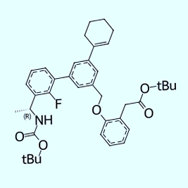 C[C@@H](NC(=O)OC(C)(C)C)c1cccc(-c2cc(COc3ccccc3CC(=O)OC(C)(C)C)cc(C3=CCCCC3)c2)c1F